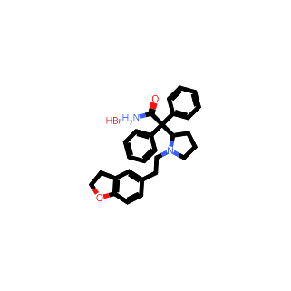 Br.NC(=O)C(c1ccccc1)(c1ccccc1)C1CCCN1CCc1ccc2c(c1)CCO2